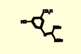 CN/C(=N/c1cc(O)cc(C(=O)O)c1)SC